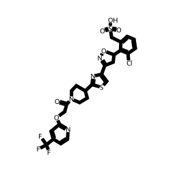 O=C(COc1cc(C(F)(F)F)ccn1)N1CCC(c2nc(C3=NOC(c4c(Cl)cccc4CS(=O)(=O)O)C3)cs2)CC1